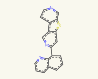 c1cnc2c(-c3cc4sc5cnccc5c4cn3)cccc2c1